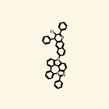 CCC1C(c2ccccc2)=Nc2cc3ccc(-n4c5cccc6c7ccccc7n7c(-c8ccccc8)nc8ccc4c(c65)c87)cc3cc2C1c1ccccc1